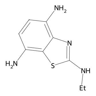 CCNc1nc2c(N)ccc(N)c2s1